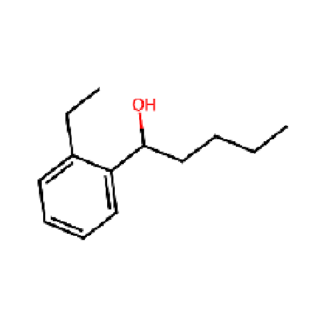 CCCCC(O)c1ccccc1CC